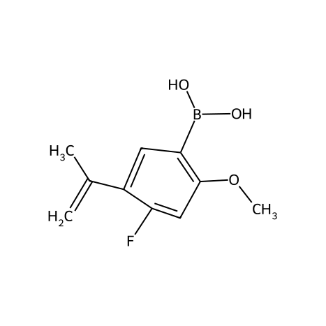 C=C(C)c1cc(B(O)O)c(OC)cc1F